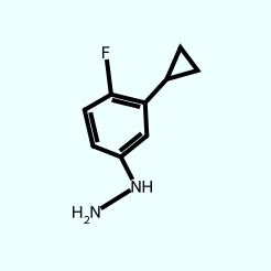 NNc1ccc(F)c(C2CC2)c1